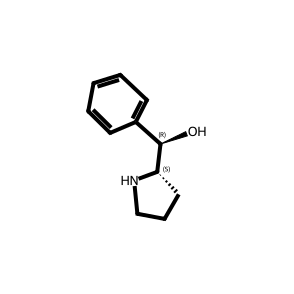 O[C@H](c1ccccc1)[C@@H]1CCCN1